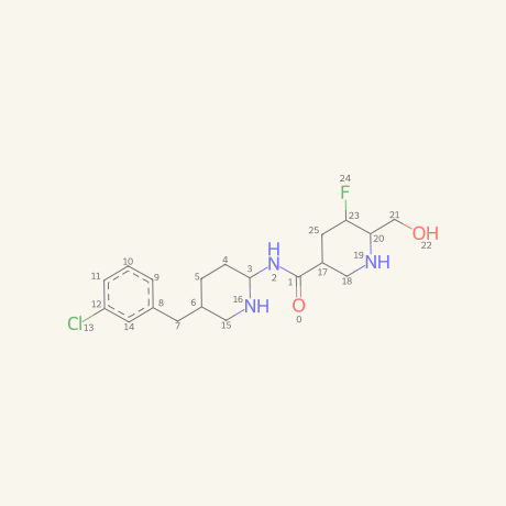 O=C(NC1CCC(Cc2cccc(Cl)c2)CN1)C1CNC(CO)C(F)C1